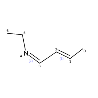 C/C=C/C=N\CC